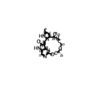 Cc1cc2c([nH]1)/C=C1\C(=O)Nc3cnc(nc31)OC[C@@H](C)OCCN(C)C2=O